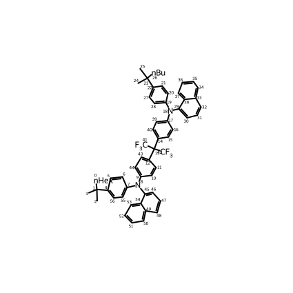 CCCCCCC(C)(C)c1ccc(N(c2ccc(C(c3ccc(N(c4ccc(C(C)(C)CCCC)cc4)c4cccc5ccccc45)cc3)(C(F)(F)F)C(F)(F)F)cc2)c2cccc3ccccc23)cc1